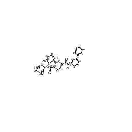 O=C(Nc1cccc(-c2ccccc2)c1)N1CCN(C(=O)N(C2CNCCN2)C2CNCCN2)CC1